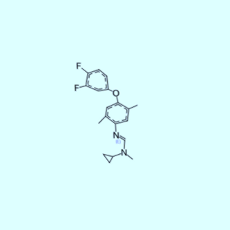 Cc1cc(Oc2ccc(F)c(F)c2)c(C)cc1/N=C/N(C)C1CC1